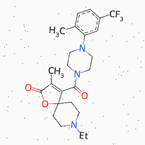 CCN1CCC2(CC1)OC(=O)C(C)=C2C(=O)N1CCN(c2cc(C(F)(F)F)ccc2C)CC1